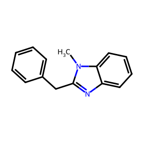 Cn1c(Cc2ccccc2)nc2ccccc21